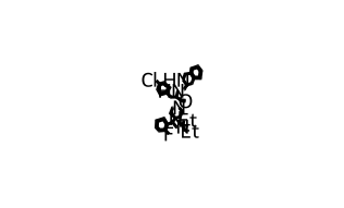 CCN(CC)CC(c1ccccc1F)N1CCN(C(=O)C(Cc2ccc(Cl)cc2)NCC2Cc3ccccc3CN2)CC1